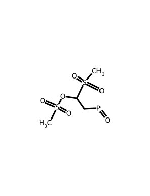 CS(=O)(=O)OC(CP=O)S(C)(=O)=O